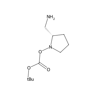 CC(C)(C)OC(=O)ON1CCC[C@H]1CN